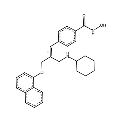 O=C(NO)c1ccc(/C=C(\CNC2CCCCC2)COc2cccc3ccccc23)cc1